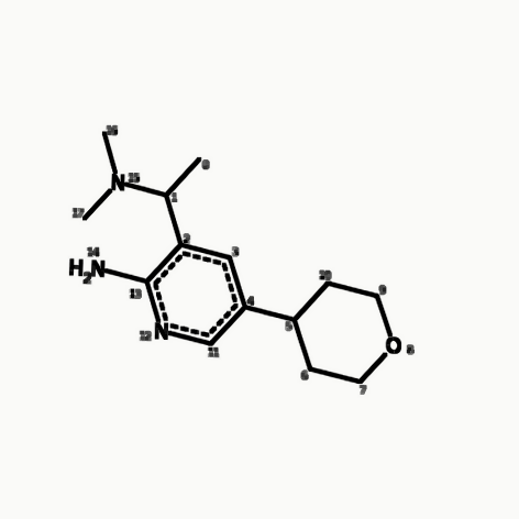 CC(c1cc(C2CCOCC2)cnc1N)N(C)C